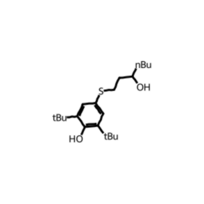 CCCCC(O)CCSc1cc(C(C)(C)C)c(O)c(C(C)(C)C)c1